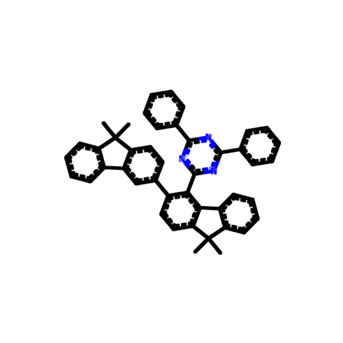 CC1(C)c2ccccc2-c2cc(-c3ccc4c(c3-c3nc(-c5ccccc5)nc(-c5ccccc5)n3)-c3ccccc3C4(C)C)ccc21